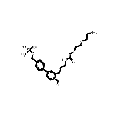 CC(C)(C)[Si](C)(C)OCc1ccc(-c2ccc(CO)c(CCCNC(=O)COCCOCCN)c2)cc1